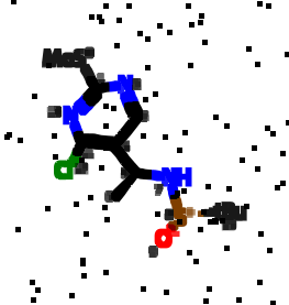 CSc1ncc([C@H](C)N[S@@+]([O-])C(C)(C)C)c(Cl)n1